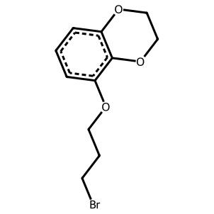 BrCCCOc1cccc2c1OCCO2